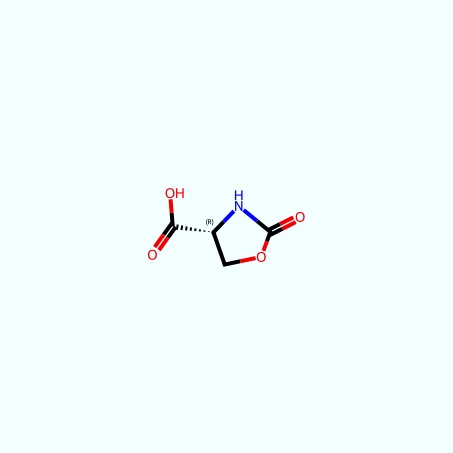 O=C1N[C@@H](C(=O)O)CO1